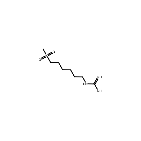 CS(=O)(=O)CCCCCCNC([NH])=N